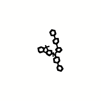 CC1(C)c2ccccc2-c2ccc(N(c3ccc(-c4ccccc4)cc3)c3cccc(-c4ccc(-c5ccccc5)cc4)c3)cc21